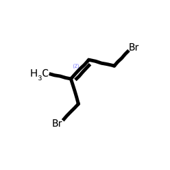 C/C(=C/CBr)CBr